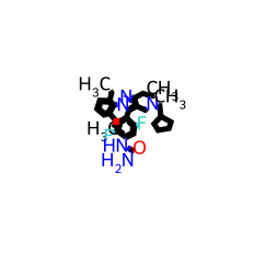 CCc1cccc(CC)c1-n1nc2c(c1-c1cc(F)c(NC(N)=O)cc1F)CN(CC1CCCC1)C(C)(C)C2